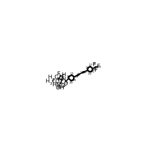 COC(C)(C(F)F)[C@H](NC(=O)c1ccc(C#CC#Cc2ccc(C(F)(F)F)cc2)cc1)C(=O)NO